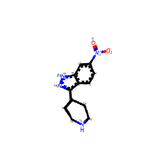 O=[N+]([O-])c1ccc2c(C3CCNCC3)n[nH]c2c1